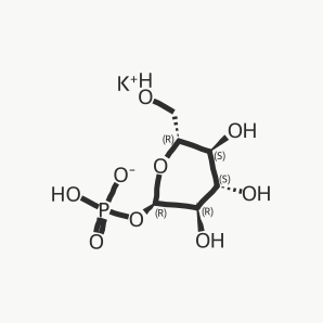 O=P([O-])(O)O[C@H]1O[C@H](CO)[C@@H](O)[C@H](O)[C@H]1O.[K+]